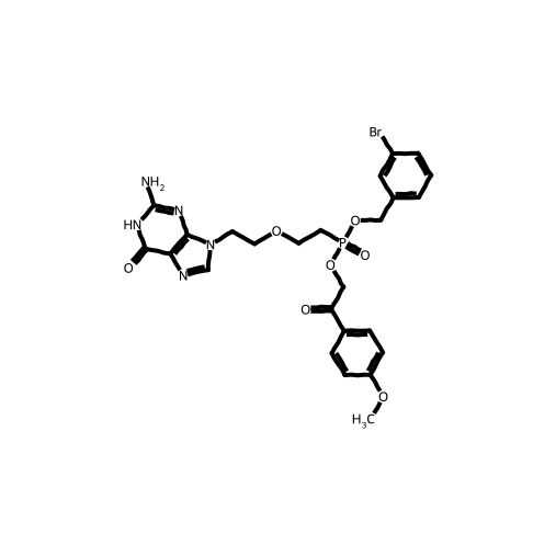 COc1ccc(C(=O)COP(=O)(CCOCCn2cnc3c(=O)[nH]c(N)nc32)OCc2cccc(Br)c2)cc1